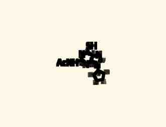 CC(=O)Nc1nc(S)c2ncn(C3CCCC3)c2n1